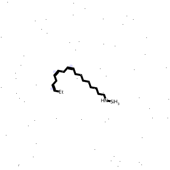 CC/C=C\C/C=C\C/C=C\CCCCCCCCN[SiH3]